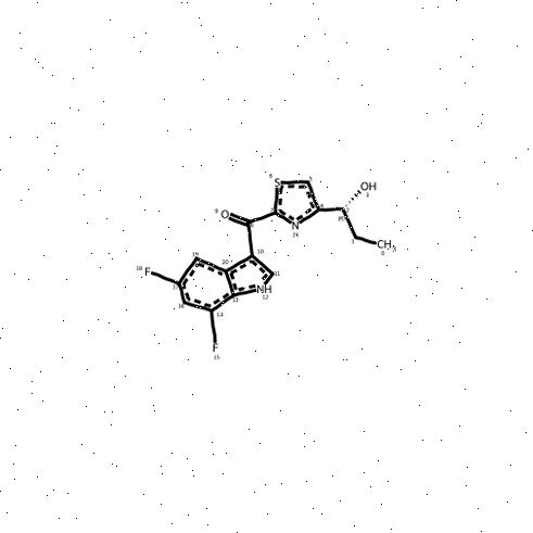 CC[C@@H](O)c1csc(C(=O)c2c[nH]c3c(F)cc(F)cc23)n1